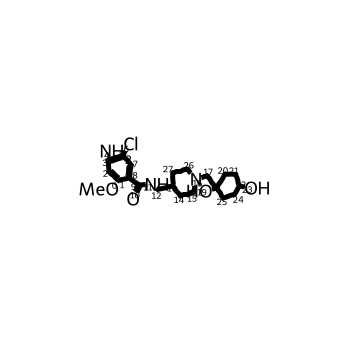 COc1cc(N)c(Cl)cc1C(=O)NCC1CCN(CC2(O)CCC(O)CC2)CC1